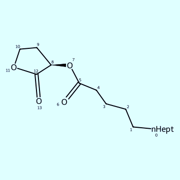 CCCCCCCCCCCC(=O)O[C@@H]1CCOC1=O